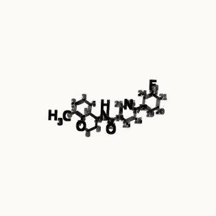 Cc1cccc2c1OCCC2NC(=O)c1ccc(-c2cccc(F)c2)nc1